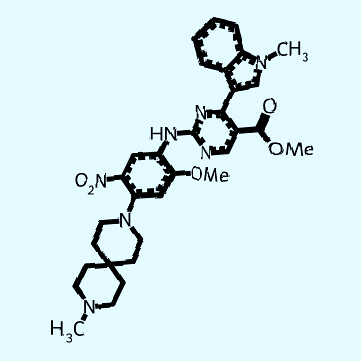 COC(=O)c1cnc(Nc2cc([N+](=O)[O-])c(N3CCC4(CCN(C)CC4)CC3)cc2OC)nc1-c1cn(C)c2ccccc12